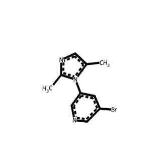 Cc1cnc(C)n1-c1cncc(Br)c1